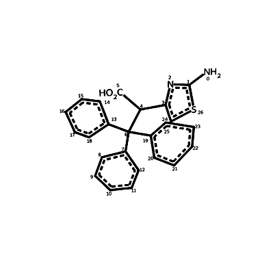 Nc1nc(C(C(=O)O)C(c2ccccc2)(c2ccccc2)c2ccccc2)cs1